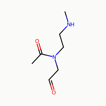 CNCCN(CC=O)C(C)=O